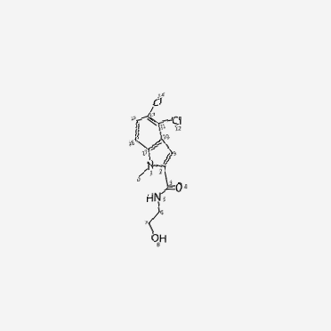 Cn1c(C(=O)NCCO)cc2c(Cl)c(Cl)ccc21